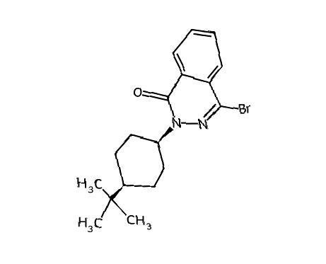 CC(C)(C)[C@H]1CC[C@@H](n2nc(Br)c3ccccc3c2=O)CC1